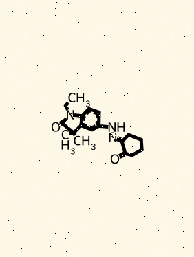 CCN1C(=O)C(C)(C)c2cc(N/N=C3\CCCCC3=O)ccc21